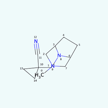 CN1CC2CCC(C1)N2CC1(C#N)CC1